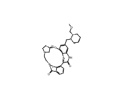 COC[C@H]1CCCCN1Cc1cc2c3nc(c(=O)[nH]c3c1)-c1cccc3c(=O)n(sc13)CCN1CC[C@@H](C1)O2